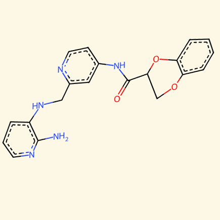 Nc1ncccc1NCc1cc(NC(=O)C2COc3ccccc3O2)ccn1